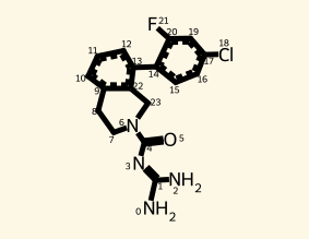 NC(N)=NC(=O)N1CCc2cccc(-c3ccc(Cl)cc3F)c2C1